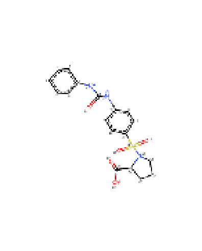 O=C(Nc1ccccc1)Nc1ccc(S(=O)(=O)N2CCC[C@H]2C(=O)O)cc1